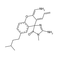 C=C/C=C1\C(=C/N)Oc2ccc(CCC(C)C)cc2C12N=C(N)N(C)C2=O